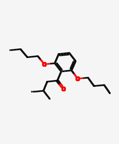 [CH2]C(C)CC(=O)c1c(OCCCC)cccc1OCCCC